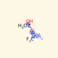 Cc1cc(O)nc(CCCCOc2nccc(NC(N)=NCC(F)(F)F)n2)n1